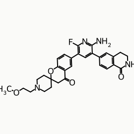 COCCN1CCC2(CC1)CC(=O)c1cc(-c3cc(-c4ccc5c(c4)CCNC5=O)c(N)nc3F)ccc1O2